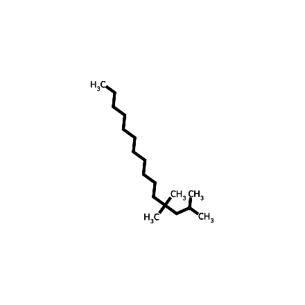 CCCCCCCCCCCC(C)(C)C[C](C)C